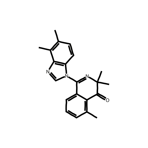 Cc1cccc2c1C(=O)C(C)(C)N=C2n1cnc2c(C)c(C)ccc21